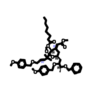 CCCCCCCC(=O)O[C@H]1/C(=C/C(=O)OC)C[C@@H](CC(OCc2ccc(OC)cc2)[C@@H](C)OCc2ccccc2)O[C@@]1(OC)C(C)(C)/C=C/COCc1ccc(OC)cc1